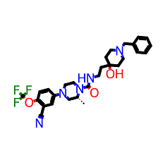 C[C@@H]1CN(c2ccc(OC(F)(F)F)c(C#N)c2)CCN1C(=O)NCCC1(O)CCN(Cc2ccccc2)CC1